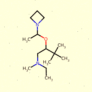 CCN(C)CC(OC(C)N1CCC1)C(C)(C)C